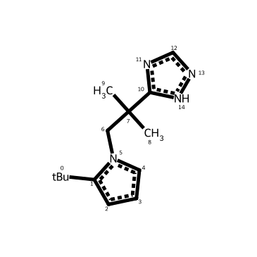 CC(C)(C)c1cccn1CC(C)(C)c1ncn[nH]1